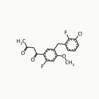 COc1cc(F)c(C(=O)CC(C)=O)cc1Cc1cccc(Cl)c1F